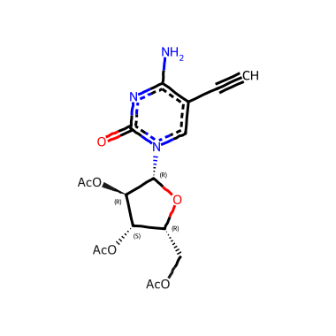 C#Cc1cn([C@@H]2O[C@H](COC(C)=O)[C@H](OC(C)=O)[C@H]2OC(C)=O)c(=O)nc1N